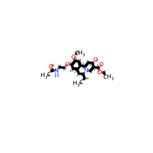 CCOC(=O)c1cn2c(cc1=O)-c1cc(OC)c(OCCNC(C)=O)cc1CC2CC